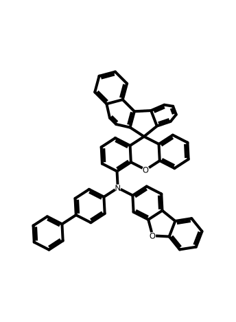 c1ccc(-c2ccc(N(c3ccc4c(c3)oc3ccccc34)c3cccc4c3Oc3ccccc3C43c4ccccc4-c4c3ccc3ccccc43)cc2)cc1